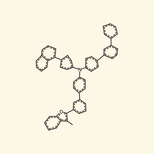 Cc1c(-c2cccc(-c3ccc(N(c4ccc(-c5cccc(-c6ccccc6)c5)cc4)c4ccc(-c5cccc6ccccc56)cc4)cc3)c2)oc2ccccc12